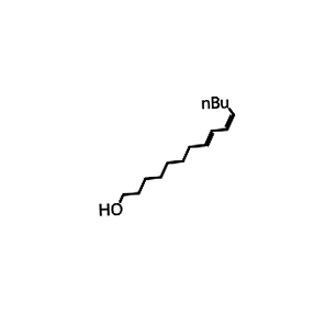 CCCC/C=C\C=C\CCCCCCCO